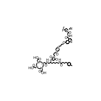 Cc1ccc(CCCC(=O)NCCCCCC(CNC(=O)CN2CCN(CC(=O)O)CCN(CC(=O)O)CCN(CC(=O)O)CC2)SC2CC(=O)N(CCCC(=O)N3CCN(CCCCOc4ccc5nccc(C(=O)NCC(=O)N6CC(F)(F)C[C@@H]6C#N)c5c4)CC3)C2=O)cc1